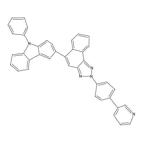 c1ccc(-n2c3ccccc3c3cc(-c4cc5nn(-c6ccc(-c7cccnc7)cc6)nc5c5ccccc45)ccc32)cc1